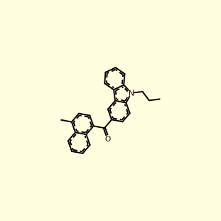 CCCn1c2ccccc2c2cc(C(=O)c3ccc(C)c4ccccc34)ccc21